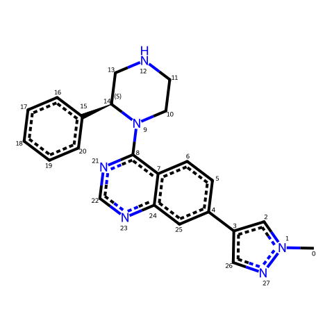 Cn1cc(-c2ccc3c(N4CCNC[C@@H]4c4ccccc4)ncnc3c2)cn1